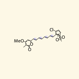 COc1cc(/C=C/C=C/C=C/C=C/c2c(Cl)ccn2S(C)(=O)=O)oc(=O)c1C